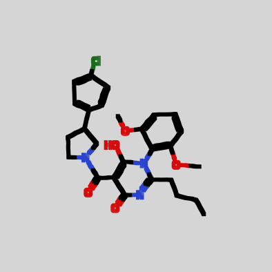 CCCCc1nc(=O)c(C(=O)N2CCC(c3ccc(Cl)cc3)C2)c(O)n1-c1c(OC)cccc1OC